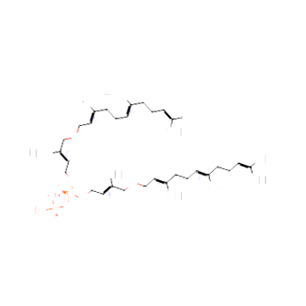 CC(C)=CCC/C(C)=C/CC/C(C)=C/COC/C(C)=C/COP(=O)(OC/C=C(\C)COC/C=C(\C)CC/C=C(\C)CCC=C(C)C)OP(=O)(O)O